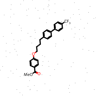 COC(=O)c1ccc(OCCCCc2ccc(-c3ccc(C(F)(F)F)cc3)cc2)cc1